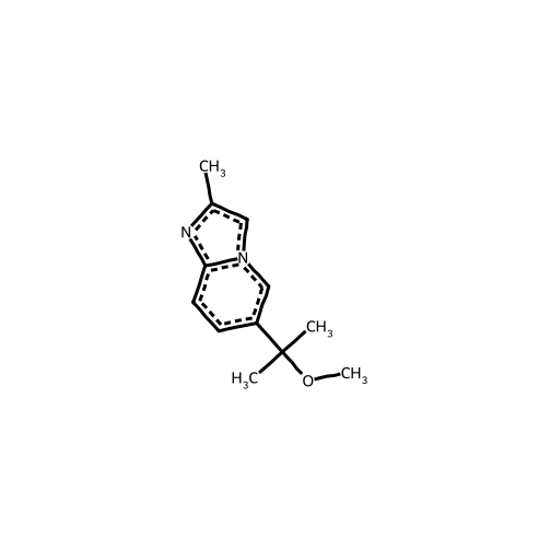 COC(C)(C)c1ccc2nc(C)cn2c1